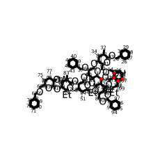 CCC1O[C@H](OCC2O[C@@H](O[C@@H]3C(COCc4ccccc4)O[C@@H](OCc4ccccc4)C(C)[C@H]3C)C(OCc3ccccc3)[C@@H](O[C@@H]3OC(CC)[C@H](C)[C@@H](C)C3O[C@@H]3OC(CC)[C@@H](O[C@@H]4OC(COCc5ccccc5)[C@H](C)[C@H](C)C4OC(C)=O)[C@H](C)C3C)[C@@H]2O[C@@H]2OC3COC(c4ccccc4)O[C@H]3[C@H](C)C2C)C(O)[C@@H](C)[C@@H]1C